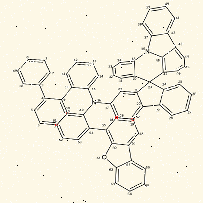 c1ccc(-c2ccccc2-c2ccccc2N(c2ccc3c(c2)C2(c4ccccc4-3)c3ccccc3-n3c4ccccc4c4cccc2c43)c2ccccc2-c2cccc3c2oc2ccccc23)cc1